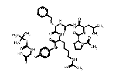 CC(=N)NCCCC[C@H](NC(=O)[C@H](CCc1ccccc1)NC(=O)CNC(=O)[C@@H](CC(C)C)NC(=O)[C@@H]1CCCN1C(C)=O)C(=O)Nc1ccc(C[C@@H](NC(=O)OC(C)(C)C)C(=O)O)cc1